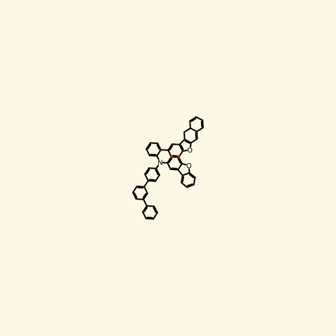 C1=CC2=Cc3oc4ccc(-c5ccccc5N(c5ccc(-c6cccc(-c7ccccc7)c6)cc5)c5ccc6oc7ccccc7c6c5)cc4c3CC2C=C1